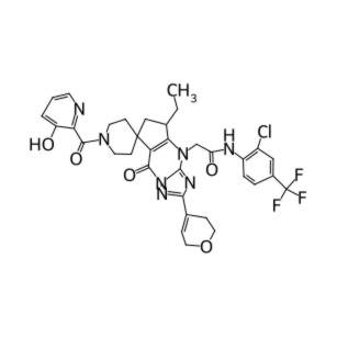 CCC1CC2(CCN(C(=O)c3ncccc3O)CC2)c2c1n(CC(=O)Nc1ccc(C(F)(F)F)cc1Cl)c1nc(C3=CCOCC3)nn1c2=O